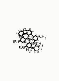 Cc1cc2c3c(c1)N1c4c(cc(C(C)(C)C)cc4C4(C)CCCCC14C)B3N(c1ccc(C(C)(C)C)cc1C)c1c-2ccc2oc3ccccc3c12